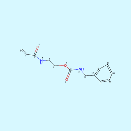 C=CC(=O)NCCOC(=O)NCc1ccccc1